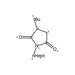 CCCCCCCN1C(=O)CC(C(C)(C)C)C1=O